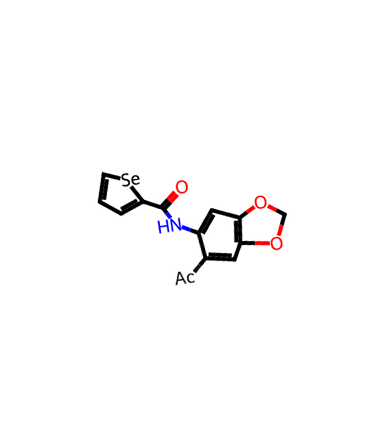 CC(=O)c1cc2c(cc1NC(=O)c1ccc[se]1)OCO2